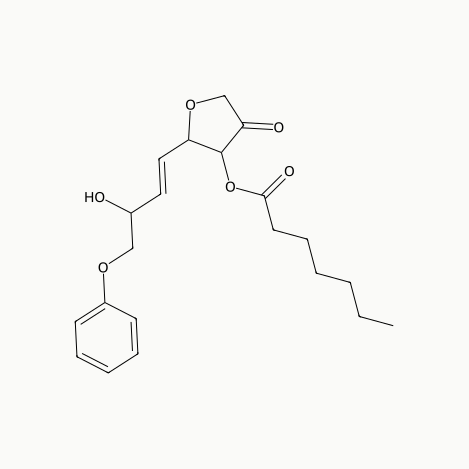 CCCCCCC(=O)OC1C(=O)COC1/C=C/C(O)COc1ccccc1